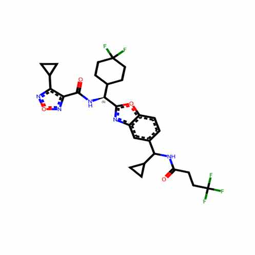 O=C(CCC(F)(F)F)NC(c1ccc2oc([C@@H](NC(=O)c3nonc3C3CC3)C3CCC(F)(F)CC3)nc2c1)C1CC1